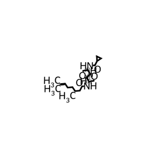 CC(C)=CCCC(C)CC(=O)N[C@H]1CO[C@H]2[C@@H]1OC[C@@H]2NC(=O)C1CC1